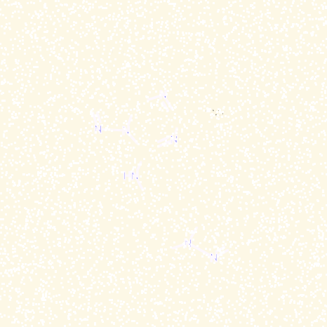 CSc1nc(NCc2ccccc2-n2cccn2)n2ncc(C(C)(C)C)c2n1